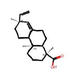 C=C[C@@]1(C)C=C2CCC3[C@@](C)(CCC[C@]3(C)C(=O)O)C2CC1